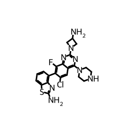 Nc1nc2c(-c3c(Cl)cc4c(N5CCNCC5)nc(N5CC(N)C5)nc4c3F)cccc2s1